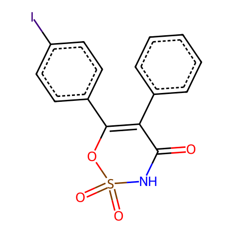 O=C1NS(=O)(=O)OC(c2ccc(I)cc2)=C1c1ccccc1